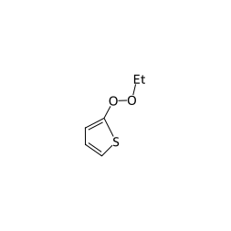 CCOOc1cccs1